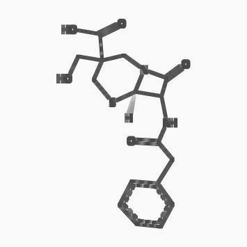 O=C(Cc1ccccc1)NC1C(=O)N2CC(CO)(C(=O)O)CS[C@H]12